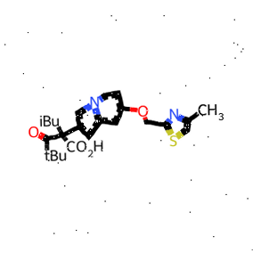 CCC(C)C(C(=O)O)(C(=O)C(C)(C)C)c1cc2cc(OCc3nc(C)cs3)ccn2c1